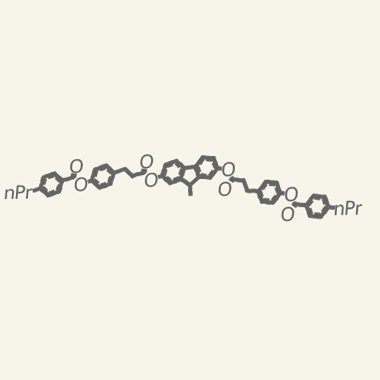 CCCc1ccc(C(=O)Oc2ccc(CCC(=O)Oc3ccc4c(c3)C(C)c3cc(OC(=O)CCc5ccc(OC(=O)c6ccc(CCC)cc6)cc5)ccc3-4)cc2)cc1